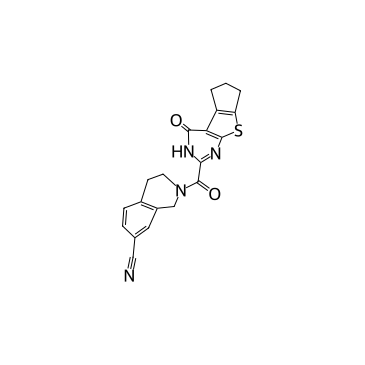 N#Cc1ccc2c(c1)CN(C(=O)c1nc3sc4c(c3c(=O)[nH]1)CCC4)CC2